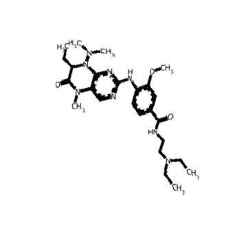 CCC1C(=O)N(C)c2cnc(Nc3ccc(C(=O)NCCN(CC)CC)cc3OC)nc2N1N(C)C